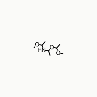 COC(C)NC(C)OC(C)OC